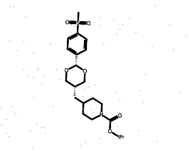 CC(C)OC(=O)N1CCC(C[C@H]2CO[C@@H](c3ccc(S(C)(=O)=O)cc3)OC2)CC1